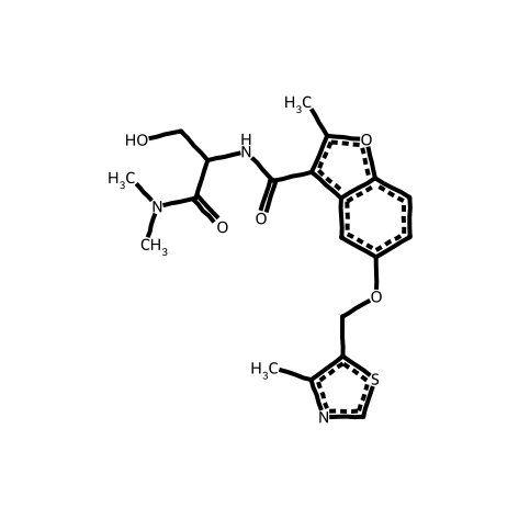 Cc1ncsc1COc1ccc2oc(C)c(C(=O)NC(CO)C(=O)N(C)C)c2c1